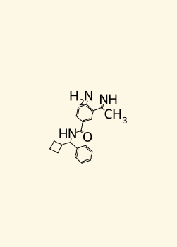 CC(=N)c1cc(C(=O)NC(c2ccccc2)C2CCC2)ccc1N